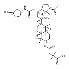 C=C(C)[C@@H]1CCC2[C@@H](CC(=O)N[C@@H]3CC[C@@H](N)C3)C[C@]3(C)[C@H](CC[C@@H]4[C@@]5(C)CC[C@H](OC(=O)CC(C)(C)C(=O)O)C(C)(C)[C@@H]5CC[C@]43C)[C@H]21